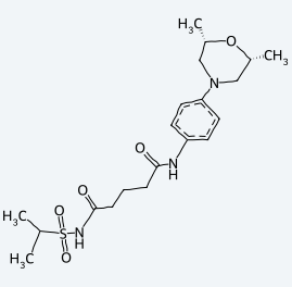 CC(C)S(=O)(=O)NC(=O)CCCC(=O)Nc1ccc(N2C[C@@H](C)O[C@@H](C)C2)cc1